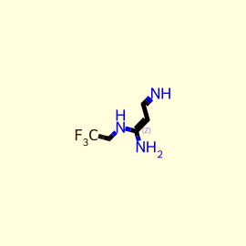 N=C/C=C(/N)NCC(F)(F)F